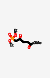 CCOP(=O)(CC(=O)CCC(=O)OC)OCC